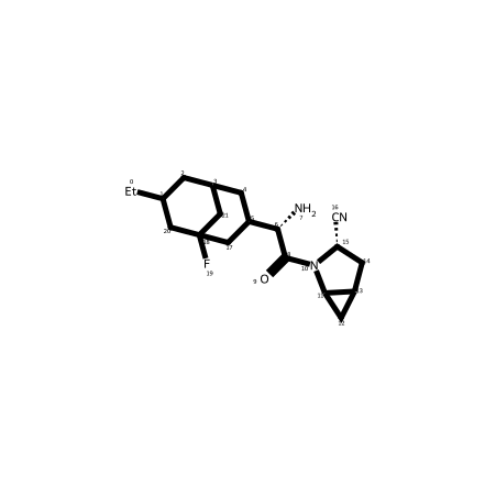 CCC1CC2CC([C@H](N)C(=O)N3C4CC4C[C@H]3C#N)CC(F)(C1)C2